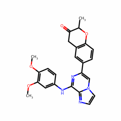 COc1ccc(Nc2nc(-c3ccc4c(c3)CC(=O)C(C)O4)cn3ccnc23)cc1OC